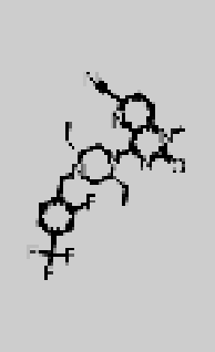 CC[C@@H]1CN(c2nc(=O)n(C)c3ccc(C#N)nc23)[C@@H](CC)CN1Cc1ccc(C(F)(F)F)cc1F